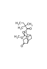 CCC(C)(C)C(=O)OC1C2CC(=O)C3C2CC1C3C(=O)OC